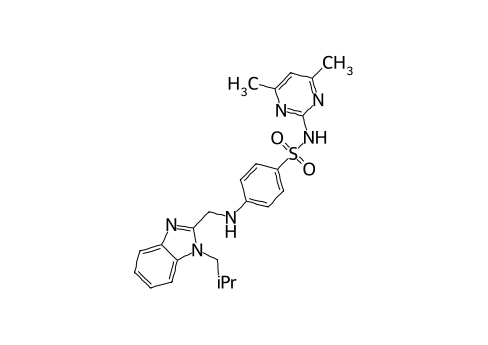 Cc1cc(C)nc(NS(=O)(=O)c2ccc(NCc3nc4ccccc4n3CC(C)C)cc2)n1